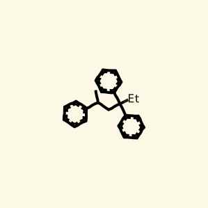 CCC(CC(C)c1ccccc1)(c1ccccc1)c1ccccc1